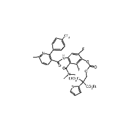 CCOC(=O)C(COC(=O)Oc1c(F)cc(NC(=O)c2ccc(C)nc2-c2ccc(C(F)(F)F)cc2)c(C(=O)N(C)C)c1F)(C(=O)OCC)c1cccs1